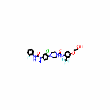 O=C(Nc1ccc(N2CCN(C(=O)Nc3ccc(OCCO)cc3C(F)(F)F)CC2)c(Cl)c1)Nc1ccccc1F